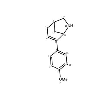 COc1ccc(C2=CCC3CNC2C3)cn1